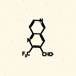 O=[C]c1cc2cnccc2nc1C(F)(F)F